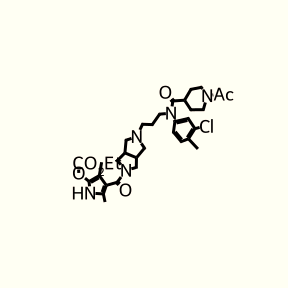 CCOC(=O)Oc1[nH]c(C)c(C(=O)N2CC3CN(CCCN(C(=O)C4CCN(C(C)=O)CC4)c4ccc(C)c(Cl)c4)CC3C2)c1C